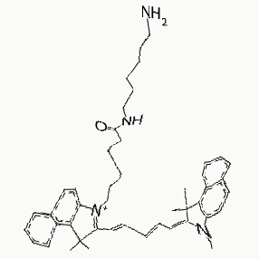 CN1/C(=C/C=C/C=C/C2=[N+](CCCCCC(=O)NCCCCCCN)c3ccc4ccccc4c3C2(C)C)C(C)(C)c2c1ccc1ccccc21